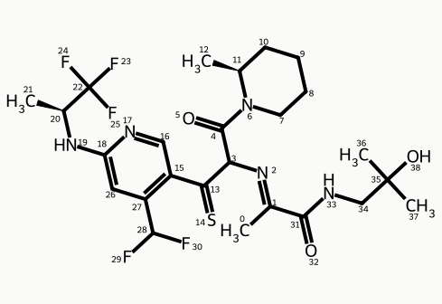 C/C(=N\C(C(=O)N1CCCC[C@@H]1C)C(=S)c1cnc(N[C@@H](C)C(F)(F)F)cc1C(F)F)C(=O)NCC(C)(C)O